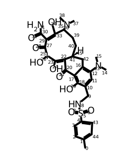 Cc1ccc(S(=O)(=O)NCc2cc(N(C)C)c3c(c2O)C(=O)/C2=C(\O)I(O)C(=O)/C(C(N)=O)=C(/O)C(N(C)C)CC[C@@H]2C3)cc1